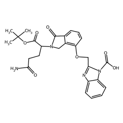 CC(C)(C)OC(=O)C(CCC(N)=O)N1Cc2c(OCc3nc4ccccc4n3C(=O)O)cccc2C1=O